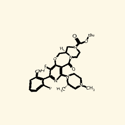 C[C@H]1CN(C)CCN1c1nc(-c2c(O)cccc2F)c(F)c2c1C(=O)N1CCN(C(=O)OC(C)(C)C)C[C@@H]1CO2